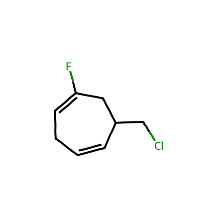 FC1=CCC=CC(CCl)C1